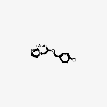 CCCCCCCCCC(Cn1ccnc1)OCc1ccc(Cl)cc1